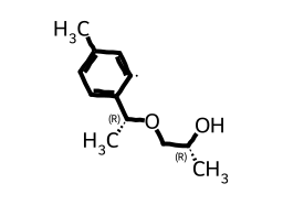 Cc1c[c]c([C@@H](C)OC[C@@H](C)O)cc1